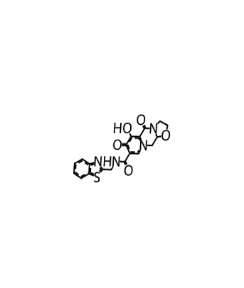 O=C(NCc1nc2ccccc2s1)c1cn2c(c(O)c1=O)C(=O)N1CCOC1C2